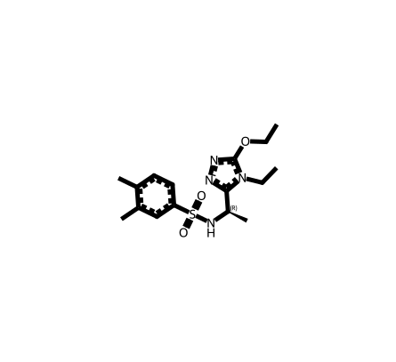 CCOc1nnc([C@@H](C)NS(=O)(=O)c2ccc(C)c(C)c2)n1CC